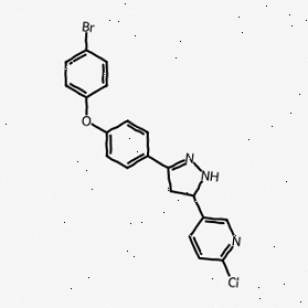 Clc1ccc(C2CC(c3ccc(Oc4ccc(Br)cc4)cc3)=NN2)cn1